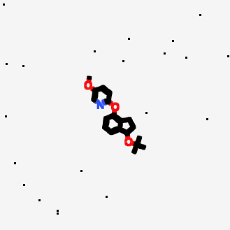 COc1ccc(Oc2cccc3c2CCC3OC(C)(C)C)nc1